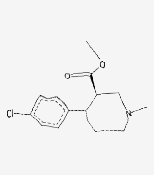 COC(=O)[C@H]1CN(C)CCC1c1ccc(Cl)cc1